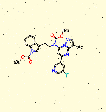 CC(=O)c1cnn2c(N(CCc3cn(C(=O)OC(C)(C)C)c4ccccc34)C(=O)OC(C)(C)C)cc(-c3cncc(F)c3)nc12